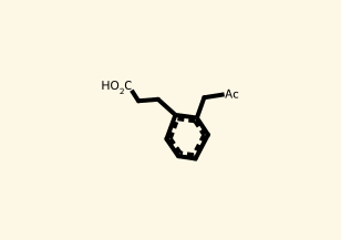 CC(=O)Cc1ccccc1CCC(=O)O